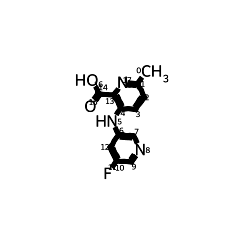 Cc1ccc(Nc2cncc(F)c2)c(C(=O)O)n1